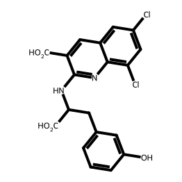 O=C(O)c1cc2cc(Cl)cc(Cl)c2nc1NC(Cc1cccc(O)c1)C(=O)O